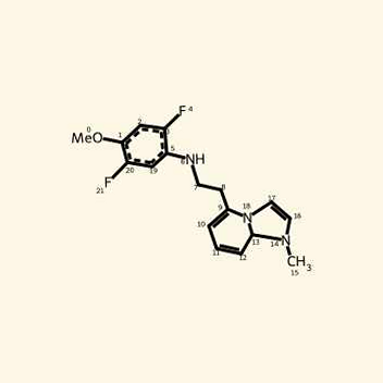 COc1cc(F)c(NCCC2=CC=CC3N(C)C=CN23)cc1F